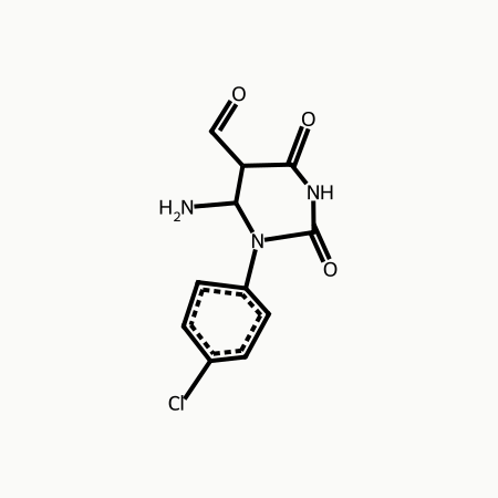 NC1C(C=O)C(=O)NC(=O)N1c1ccc(Cl)cc1